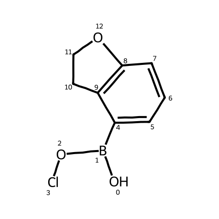 OB(OCl)c1cccc2c1CCO2